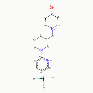 OC1CCN(CC2CCCN(c3ccc(C(F)(F)F)cn3)C2)CC1